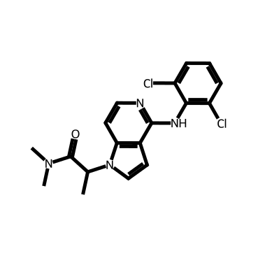 CC(C(=O)N(C)C)n1ccc2c(Nc3c(Cl)cccc3Cl)nccc21